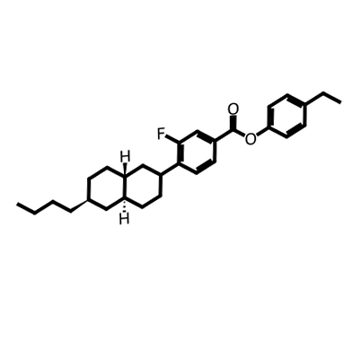 CCCC[C@H]1CC[C@@H]2CC(c3ccc(C(=O)Oc4ccc(CC)cc4)cc3F)CC[C@H]2C1